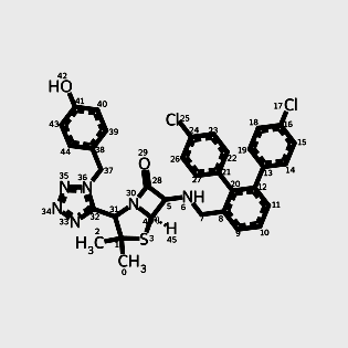 CC1(C)S[C@@H]2C(NCc3cccc(-c4ccc(Cl)cc4)c3-c3ccc(Cl)cc3)C(=O)N2C1c1nnnn1Cc1ccc(O)cc1